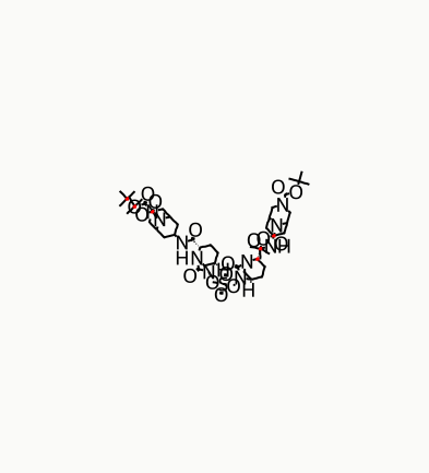 CC(C)(C)OC(=O)N1CC2CC(NC(=O)[C@@H]3CC[C@@H]4CN3C(=O)N4OS(=O)(=O)ON3C(=O)N4C[C@H]3CC[C@H]4C(=O)NC3CC4CN(C(=O)OC(C)(C)C)CC(C3)N4C(=O)OC(C)(C)C)CC(C1)N2C(=O)OC(C)(C)C